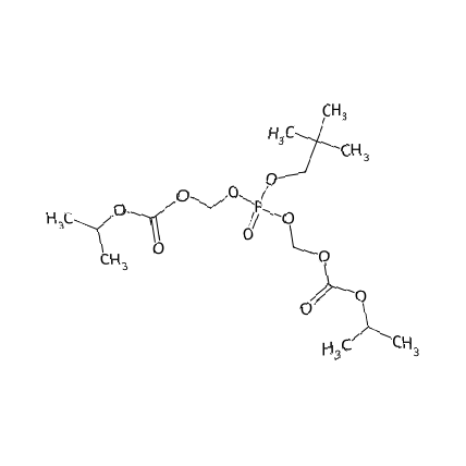 CC(C)OC(=O)OCOP(=O)(OCOC(=O)OC(C)C)OCC(C)(C)C